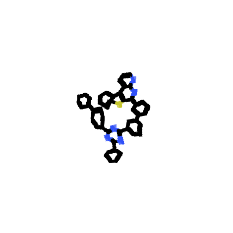 c1ccc(-c2ccc(-c3nc(-c4ccccc4)nc(-c4cccc(-c5cccc(-c6nc7ncccc7c7c6sc6ccccc67)c5)c4)n3)cc2)cc1